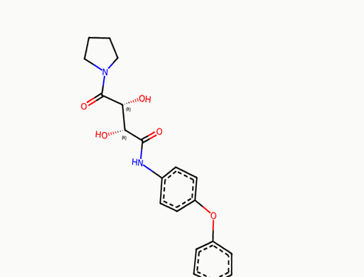 O=C(Nc1ccc(Oc2ccccc2)cc1)[C@H](O)[C@@H](O)C(=O)N1CCCC1